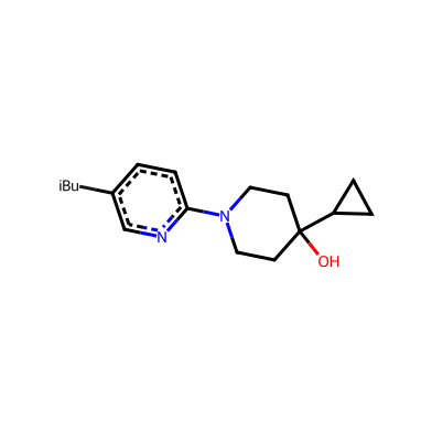 CCC(C)c1ccc(N2CCC(O)(C3CC3)CC2)nc1